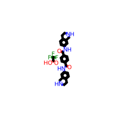 O=C(Nc1ccc2c(c1)CNCC2)c1ccc(C(=O)Nc2ccc3c(c2)CNCC3)cc1.O=C(O)C(F)(F)F